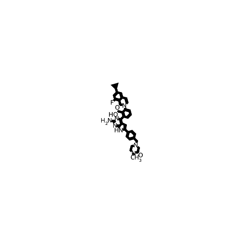 CN1CCN(Cc2ccc(-c3cc4c(-c5cccc(-n6ccc7cc(C8CC8)cc(F)c7c6=O)c5CO)nc(N)nc4[nH]3)cc2)CC1=O